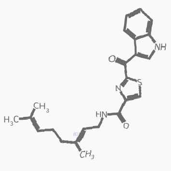 CC(C)=CCC/C(C)=C/CNC(=O)c1csc(C(=O)c2c[nH]c3ccccc23)n1